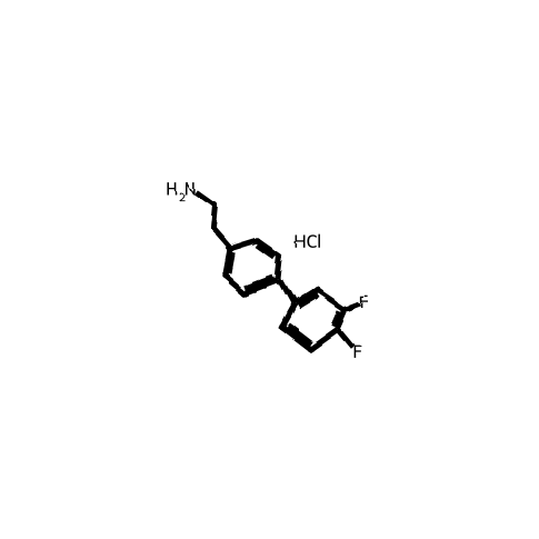 Cl.NCCc1ccc(-c2ccc(F)c(F)c2)cc1